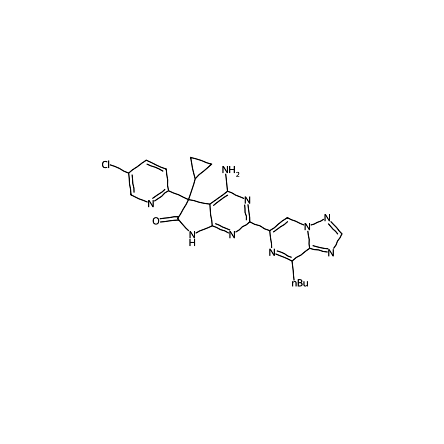 CCCCc1nc(-c2nc(N)c3c(n2)NC(=O)C3(c2ccc(Cl)cn2)C2CC2)cn2ncnc12